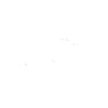 C=C(/C=C(\NNC)c1ccccc1)C(=N)Sc1ccc([N+](=O)[O-])s1